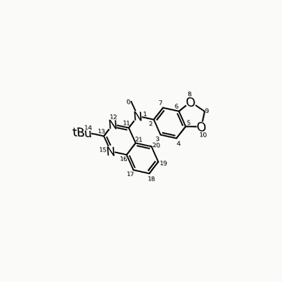 CN(c1ccc2c(c1)OCO2)c1nc(C(C)(C)C)nc2ccccc12